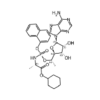 C[C@H](NP(=O)(Oc1cccc2ccccc12)O[C@@H](C)[C@H]1O[C@@H](n2cnc3c(N)ncnc32)[C@H](O)[C@@H]1O)C(=O)OC1CCCCC1